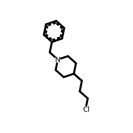 ClCCCC1CCN(Cc2ccccc2)CC1